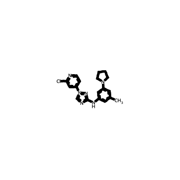 Cc1cc(Nc2ncn(-c3ccnc(Cl)c3)n2)cc(N2CCCC2)c1